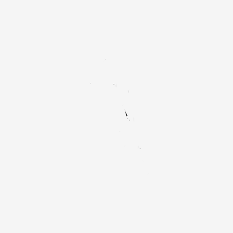 CC1(C)S[C@@H]2[C@H](NC(=O)C(N=C=O)c3ccccc3)C(=O)N2[C@H]1C(=O)O